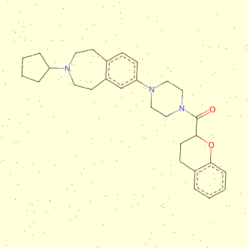 O=C(C1CCc2ccccc2O1)N1CCN(c2ccc3c(c2)CCN(C2CCCC2)CC3)CC1